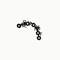 O=CC1(C(=O)OCc2ccccc2)CCN(Cc2ccc(-c3noc(-c4ccc(-c5ccccc5)c(F)c4)n3)cc2)CC1